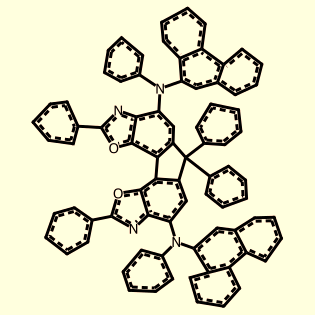 c1ccc(-c2nc3c(N(c4ccccc4)c4cc5ccccc5c5ccccc45)cc4c(c3o2)-c2c(cc(N(c3ccccc3)c3cc5ccccc5c5ccccc35)c3nc(-c5ccccc5)oc23)C4(c2ccccc2)c2ccccc2)cc1